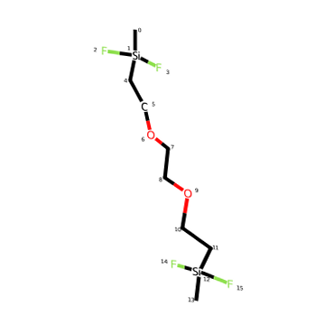 C[Si](F)(F)CCOCCOCC[Si](C)(F)F